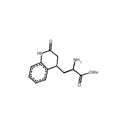 COC(=O)C(N)CC1CC(=O)Nc2ccccc21